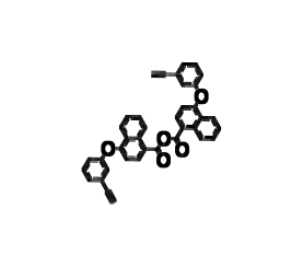 C#Cc1cccc(Oc2ccc(C(=O)OC(=O)c3ccc(Oc4cccc(C#C)c4)c4ccccc34)c3ccccc23)c1